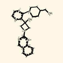 OCC1CCN(c2nccnc2C2(O)CN(c3ncc4ccccc4n3)C2)CC1